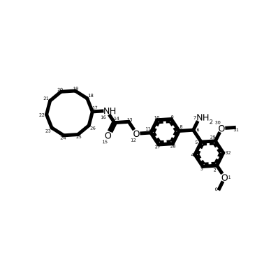 COc1ccc(C(N)c2ccc(OCC(=O)NC3CCCCCCCCC3)cc2)c(OC)c1